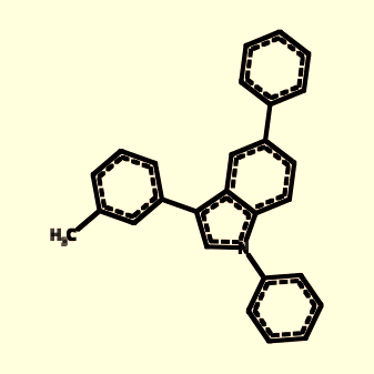 Cc1cccc(-c2cn(-c3ccccc3)c3ccc(-c4ccccc4)cc23)c1